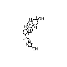 CC[C@]12CC[C@@](C)(O)C[C@H]1CC[C@@H]1[C@@H]2CC[C@]2(C)C([C@H](C)Cn3cc(C#N)cn3)CC[C@@H]12